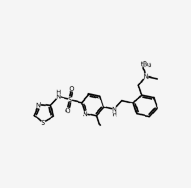 Cc1nc(S(=O)(=O)Nc2cscn2)ccc1NCc1ccccc1CN(C)C(C)(C)C